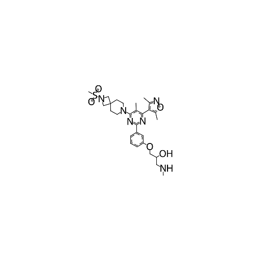 CNCC(O)COc1cccc(-c2nc(-c3c(C)noc3C)c(C)c(N3CCC4(CC3)CN(S(C)(=O)=O)C4)n2)c1